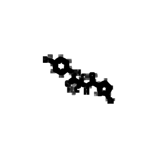 CC(C)(NC(=O)c1ccc(Br)s1)C(=O)Nc1ccc(Br)cc1